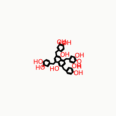 Oc1ccc(Cc2cc(Cc3ccc(O)c(O)c3)c3c(O)c(Cc4ccc(O)c(O)c4)cc(Cc4ccc(O)c(O)c4)c3c2O)cc1O